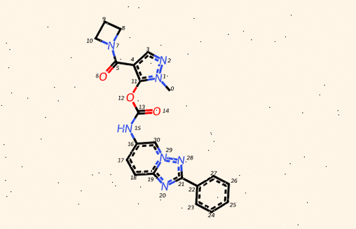 Cn1ncc(C(=O)N2CCC2)c1OC(=O)Nc1ccc2nc(-c3ccccc3)nn2c1